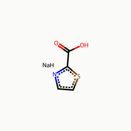 O=C(O)c1nccs1.[NaH]